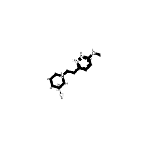 COc1ccc(CCN2CCC[C@@H](Cl)C2)nn1